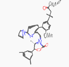 COC(=O)CC(C)(C)c1ccc(OC)c(-c2ccc(N3CCC3)nc2CN2C(=O)OC(c3cc(C)cc(C)c3)[C@@H]2C)c1